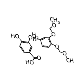 COCOc1ccc(N)cc1OCOC.O=C(O)c1ccc(O)c(O)c1